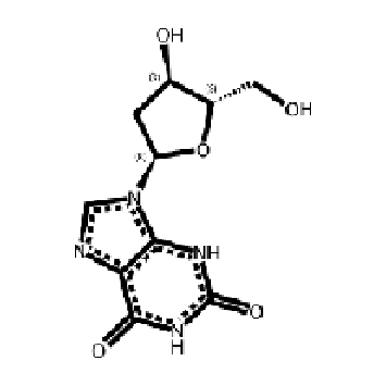 O=c1[nH]c(=O)c2ncn([C@H]3C[C@@H](O)[C@H](CO)O3)c2[nH]1